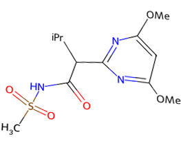 COc1cc(OC)nc(C(C(=O)NS(C)(=O)=O)C(C)C)n1